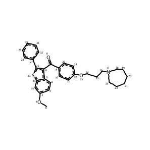 COc1ccc2c(C(=O)c3ccc(OCCCN4CCCCCC4)cc3)c(-c3ccccc3)sc2c1